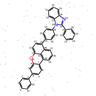 c1ccc(-c2ccc3c(c2)Oc2ccc(-c4ccc(-n5c(-c6ccccc6)nc6ccccc65)cc4)c4cccc-3c24)cc1